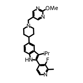 COc1ncc(CN2CCC(c3ccc4[nH]c(-c5ccnc(C)c5F)c(C(C)C)c4c3)CC2)cn1